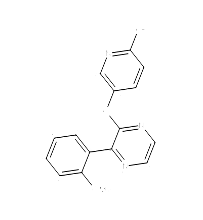 COc1ccccc1-c1nccnc1Oc1ccc(C(F)(F)F)nc1